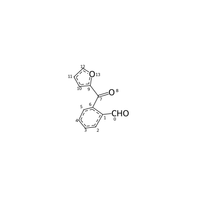 O=Cc1ccccc1C(=O)c1ccco1